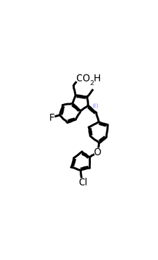 CC1=C(CC(=O)O)c2cc(F)ccc2/C1=C\c1ccc(Oc2cccc(Cl)c2)cc1